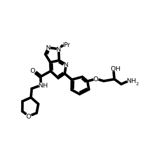 CC(C)n1ncc2c(C(=O)NCC3CCOCC3)cc(-c3cccc(OCC(O)CN)c3)nc21